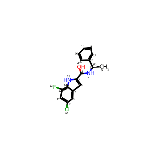 C[C@@H](NC(O)c1cc2cc(Cl)cc(F)c2[nH]1)c1ccccc1